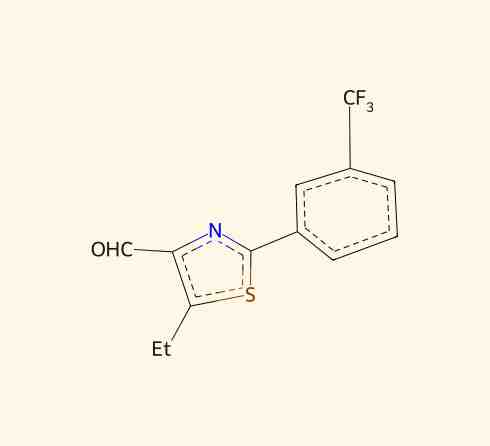 CCc1sc(-c2cccc(C(F)(F)F)c2)nc1C=O